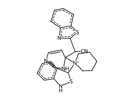 N#CC(c1nc2ccccc2s1)C1([N+]2(C3SNc4ccccc43)CCCCC2)C=CN=CN1